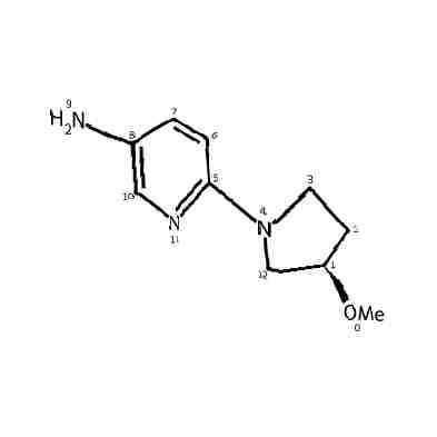 CO[C@@H]1CCN(c2ccc(N)cn2)C1